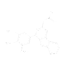 COc1cc(-c2nc(OC(N)=O)cc3c2[nH]c2ccccc23)cc(OC)c1OC